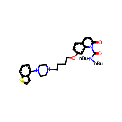 CCCCN(CCCC)C(=O)n1c(=O)ccc2ccc(OCCCCN3CCN(c4cccc5sccc45)CC3)cc21